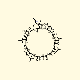 C/C=C/C[C@@H](C)[C@@H](O)[C@H]1C(=O)N[C@@H](CC)C(=O)N(C)[C@H](CO)C(=O)N(C)[C@@H](CC(C)C)C(=O)N[C@@H](C(C)C)C(=O)N(C)[C@@H](CC(C)C)C(=O)N[C@@H](C)C(=O)N[C@H](C)C(=O)N(C)[C@@H](CC(C)C)C(=O)N(C)[C@@H](CC(C)C)C(=O)N(C)[C@@H](C(C)C)C(=O)C1C